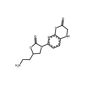 NCCC1CN(c2ccc3c(n2)OC(=O)CN3)C(=O)O1